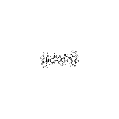 Cn1c2cc(N3c4ccccc4C(C)(C)c4ccccc43)ccc2c2cc3c(cc21)-c1ccc(N2c4ccccc4C(C)(C)c4ccccc42)cc1C3(C)C